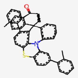 Cc1ccccc1-c1ccc2c(c1)N1c3ccccc3C3(c4ccccc4C(=O)c4ccccc43)c3c(-c4ccccc4C)ccc(c31)S2